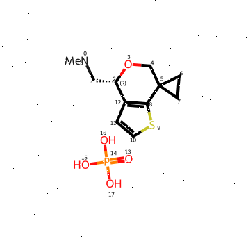 CNC[C@@H]1OCC2(CC2)c2sccc21.O=P(O)(O)O